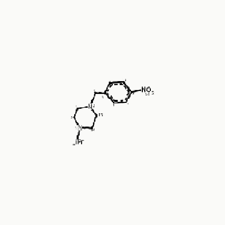 CC(C)N1CCN(Cc2ccc([N+](=O)[O-])cc2)CC1